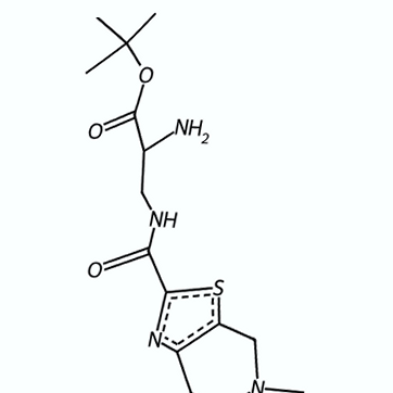 CN1CCc2nc(C(=O)NCC(N)C(=O)OC(C)(C)C)sc2C1